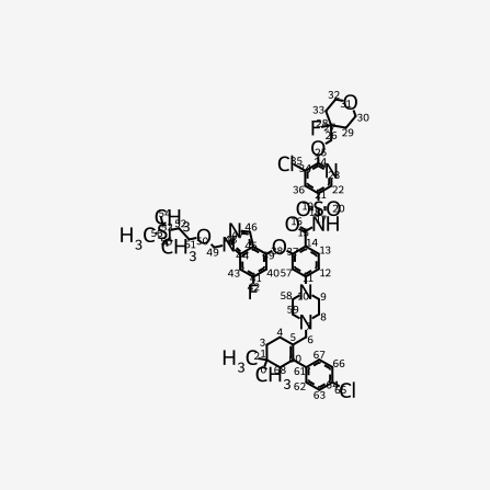 CC1(C)CCC(CN2CCN(c3ccc(C(=O)NS(=O)(=O)c4cnc(OCC5(F)CCOCC5)c(Cl)c4)c(Oc4cc(F)cc5c4cnn5COCC[Si](C)(C)C)c3)CC2)=C(c2ccc(Cl)cc2)C1